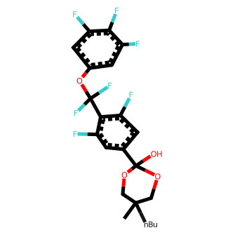 CCCCC1(C)COC(O)(c2cc(F)c(C(F)(F)Oc3cc(F)c(F)c(F)c3)c(F)c2)OC1